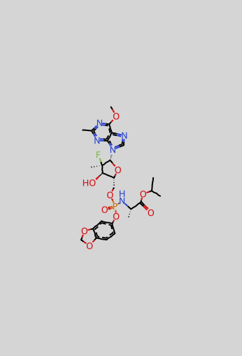 COc1nc(C)nc2c1ncn2[C@@H]1O[C@H](COP(=O)(N[C@@H](C)C(=O)OC(C)C)Oc2ccc3c(c2)OCO3)[C@@H](O)[C@@]1(C)F